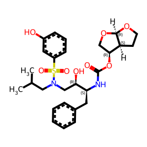 CC(C)CN(C[C@@H](O)[C@H](Cc1ccccc1)NC(=O)O[C@H]1CO[C@H]2OCC[C@H]21)S(=O)(=O)c1cccc(O)c1